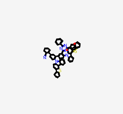 N#Cc1ccccc1-c1ccc(-n2c3ccccc3c3c4sc5ccccc5c4ccc32)c(-c2ccc(-n3c4ccccc4c4c5sc6ccccc6c5ccc43)c(-c3nc(-c4ccccc4)nc(-c4ccccc4)n3)c2)c1